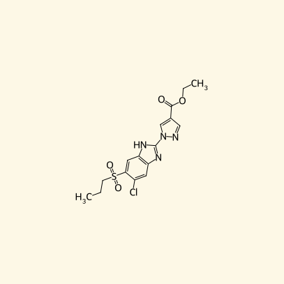 CCCS(=O)(=O)c1cc2[nH]c(-n3cc(C(=O)OCC)cn3)nc2cc1Cl